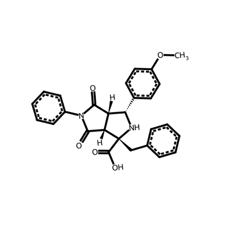 COc1ccc([C@@H]2N[C@](Cc3ccccc3)(C(=O)O)[C@@H]3C(=O)N(c4ccccc4)C(=O)[C@@H]32)cc1